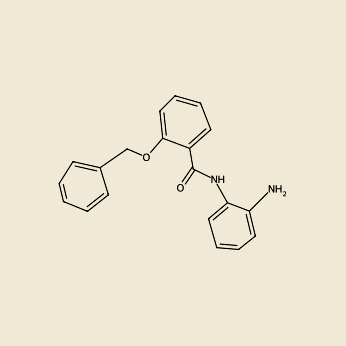 Nc1ccccc1NC(=O)c1ccccc1OCc1ccccc1